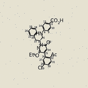 CCOc1nn([C@H](CNc2ccc(C(=O)O)cc2)Cc2ccccc2)c(=O)cc1-c1cc(Cl)ccc1C(C)=O